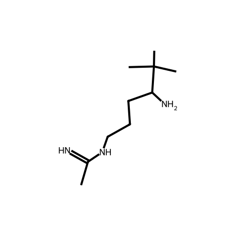 CC(=N)NCCCC(N)C(C)(C)C